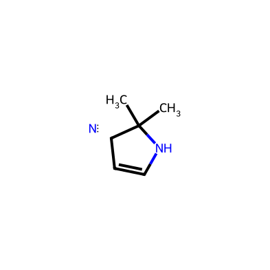 CC1(C)CC=CN1.[N]